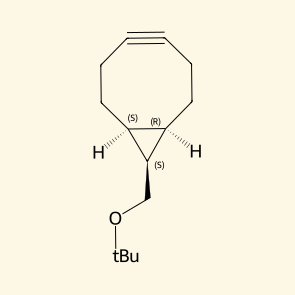 CC(C)(C)OC[C@@H]1[C@@H]2CCC#CCC[C@@H]21